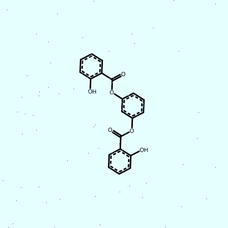 O=C(Oc1cccc(OC(=O)c2ccccc2O)c1)c1ccccc1O